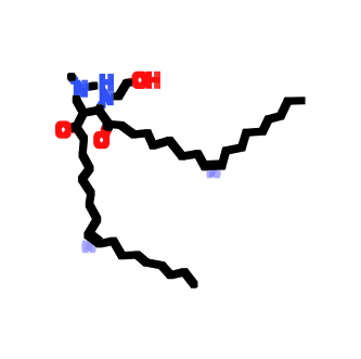 CCCCCCCC/C=C\CCCCCCCC(=O)C(CN(C)C)C(NCCO)C(=O)CCCCCCC/C=C\CCCCCCCC